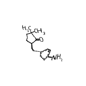 CC1(C)CCC(Cc2ccc(N)cc2)C1=O